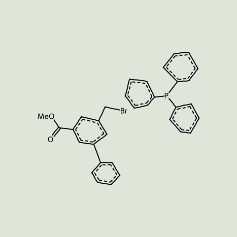 COC(=O)c1cc(CBr)cc(-c2ccccc2)c1.c1ccc(P(c2ccccc2)c2ccccc2)cc1